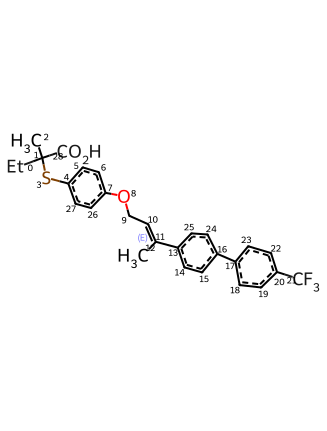 CCC(C)(Sc1ccc(OC/C=C(\C)c2ccc(-c3ccc(C(F)(F)F)cc3)cc2)cc1)C(=O)O